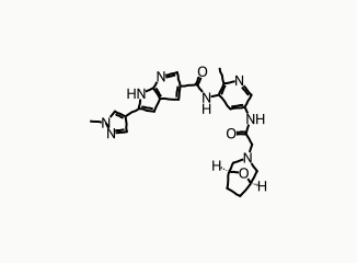 Cc1ncc(NC(=O)CN2C[C@H]3CC[C@@H](C2)O3)cc1NC(=O)c1cnc2[nH]c(-c3cnn(C)c3)cc2c1